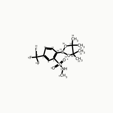 CNS(=O)(=O)c1cc(C(F)(F)F)ccc1B1OC(C)(C)C(C)(C)O1